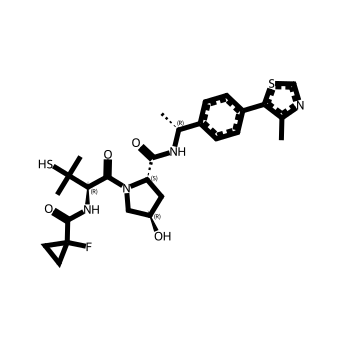 Cc1ncsc1-c1ccc([C@@H](C)NC(=O)[C@@H]2C[C@@H](O)CN2C(=O)[C@@H](NC(=O)C2(F)CC2)C(C)(C)S)cc1